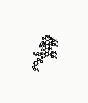 CCCN(Cc1cc(N(C)C)c2c(c1O)C(=O)C1=C(O)[C@]3(O)C(=O)C(C(N)=O)=C(O)[C@@H](N(C)C)[C@@H]3C[C@@H]1C2)C(=O)Oc1ccc(OC)cc1